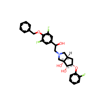 OC(CN1C[C@H]2C[C@H](Oc3ccccc3F)[C@H](O)[C@@]2(O)C1)c1cc(F)c(OCc2ccccc2)c(F)c1